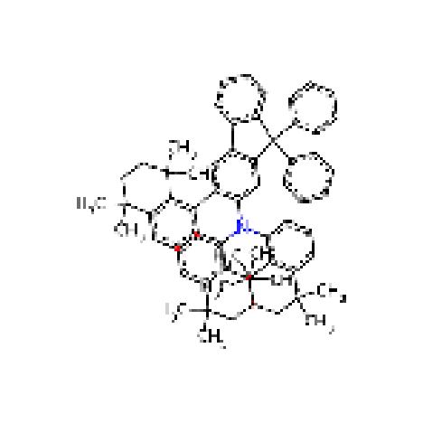 CC1(C)CCC(C)(C)c2c(-c3cc4c(cc3N(c3cccc5c3C(C)(C)CCC5(C)C)c3cccc5c3C(C)(C)CCC5(C)C)C(c3ccccc3)(c3ccccc3)c3ccccc3-4)cccc21